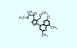 COCc1c(C(=O)N(C)OC)cnn1-c1cc(C)nc2c(C)cc(Cl)cc12